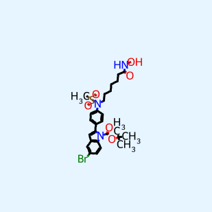 CC(C)(C)OC(=O)n1c(-c2ccc(N(CCCCCCC(=O)NO)S(C)(=O)=O)cc2)cc2cc(Br)ccc21